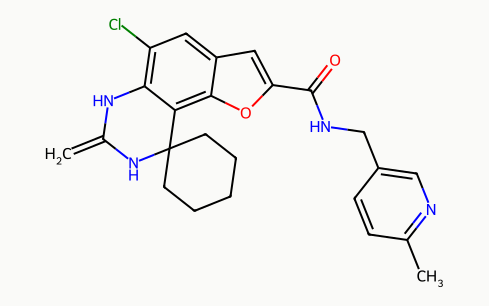 C=C1Nc2c(Cl)cc3cc(C(=O)NCc4ccc(C)nc4)oc3c2C2(CCCCC2)N1